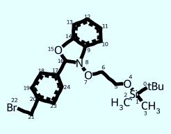 CC(C)(C)[Si](C)(C)OCCON1c2ccccc2OC1c1ccc(CBr)cc1